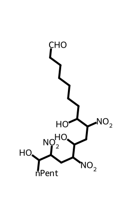 CCCCCC(O)C(CC(C(O)CC(C(O)CCCCCCC=O)[N+](=O)[O-])[N+](=O)[O-])[N+](=O)[O-]